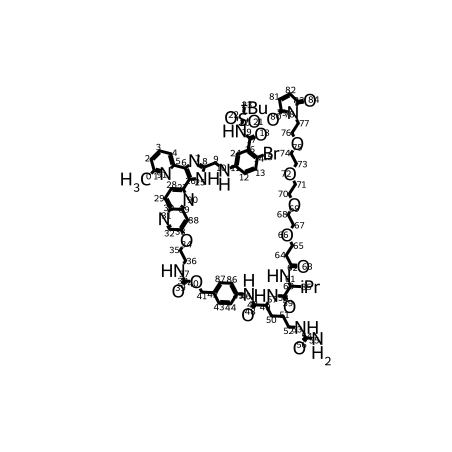 Cc1cccc(-c2nc(CNc3ccc(Br)c(C(=O)NS(=O)(=O)C(C)(C)C)c3)[nH]c2-c2ccc3ncc(OCCNC(=O)OCc4ccc(NC(=O)C(CCCNC(N)=O)NC(=O)C(NC(=O)CCOCCOCCOCCOCCN5C(=O)C=CC5=O)C(C)C)cc4)cc3n2)n1